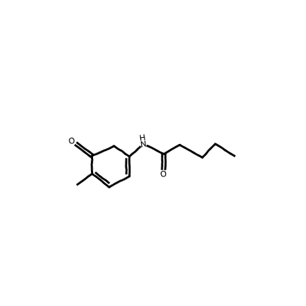 CCCCC(=O)NC1=CC=C(C)C(=O)C1